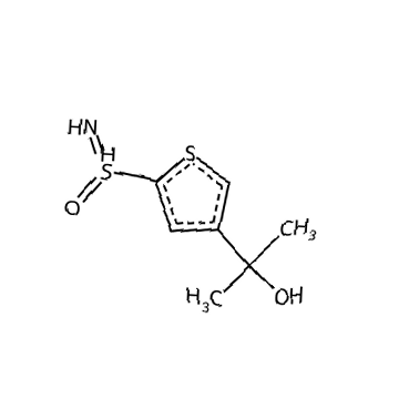 CC(C)(O)c1csc([SH](=N)=O)c1